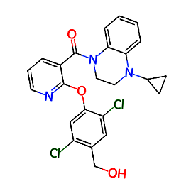 O=C(c1cccnc1Oc1cc(Cl)c(CO)cc1Cl)N1CCN(C2CC2)c2ccccc21